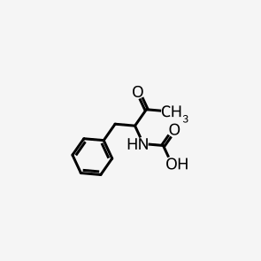 CC(=O)C(Cc1ccccc1)NC(=O)O